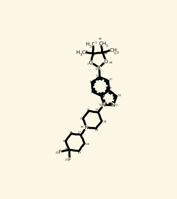 CC1(C)OB(c2ccc3c(cnn3C3CCN(C4CCC(F)(F)CC4)CC3)c2)OC1(C)C